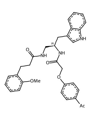 COc1ccccc1CCC(=O)NC[C@@H](Cc1c[nH]c2ccccc12)NC(=O)COc1ccc(C(C)=O)cc1